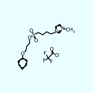 Cn1cc[n+](CCCCS(=O)(=O)OCCCOc2ccccc2)c1.O=C([O-])C(F)(F)F